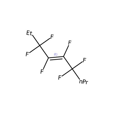 CCCC(F)(F)/C(F)=C(\F)C(F)(F)CC